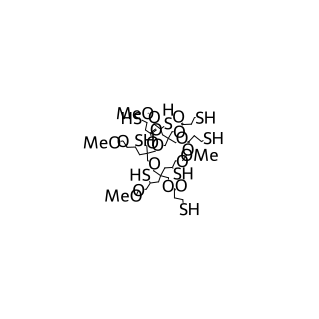 COOCC(S)CC(COCC(COC(=O)CCS)(COC(=O)CCS)CC(S)COOC)(COCC(COC(=O)CCS)(CC(S)COOC)CC(S)COOC)COC(=O)CCS